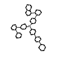 c1ccc(-c2ccc(-c3ccc(N(c4ccc(-c5ccccc5-c5ccccc5)cc4)c4ccc(-c5ccccc5-c5cccc6ccccc56)cc4)cc3)cc2)cc1